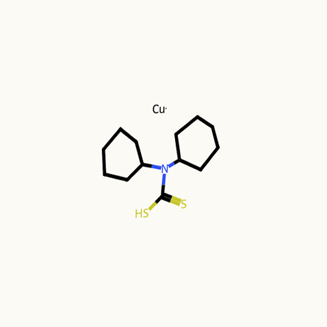 S=C(S)N(C1CCCCC1)C1CCCCC1.[Cu]